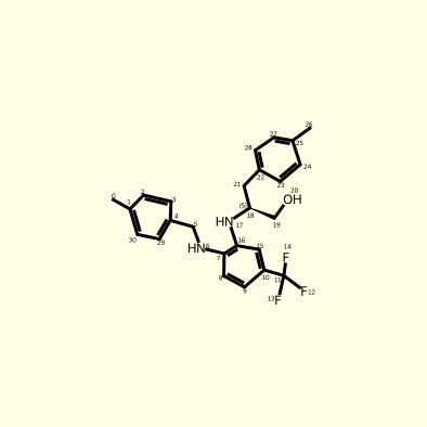 Cc1ccc(CNc2ccc(C(F)(F)F)cc2N[C@H](CO)Cc2ccc(C)cc2)cc1